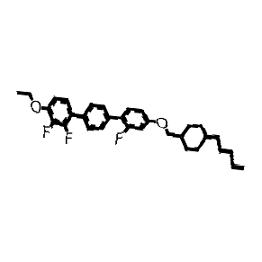 CCCCCC1CCC(COc2ccc(-c3ccc(-c4ccc(OCC)c(F)c4F)cc3)c(F)c2)CC1